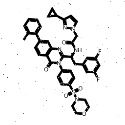 Cc1ccccc1-c1ccc2c(=O)n(-c3ccc(S(=O)(=O)N4CCOCC4)cc3)c(C(Cc3cc(F)cc(F)c3)NC(=O)Cn3ccc(C4CC4)n3)nc2c1